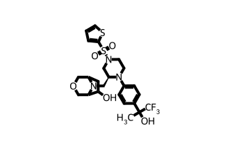 CC(O)(c1ccc(N2CCN(S(=O)(=O)c3cccs3)C[C@@H]2CN2C3COCC2C(O)C3)cc1)C(F)(F)F